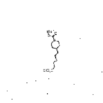 CCOC(=O)CCSCCC1CCN(C(=O)OC(C)(C)C)CC1